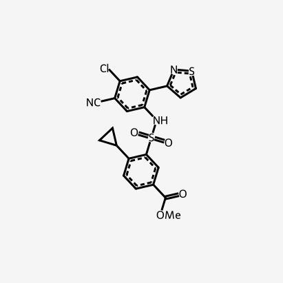 COC(=O)c1ccc(C2CC2)c(S(=O)(=O)Nc2cc(C#N)c(Cl)cc2-c2ccsn2)c1